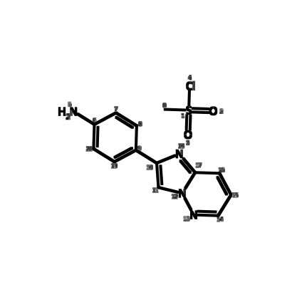 CS(=O)(=O)Cl.Nc1ccc(-c2cn3ncccc3n2)cc1